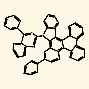 c1ccc(-c2ccc3c(c2)c2c(c4ccccc4n2-c2nc(-c4ccccc4)c4ccccc4n2)c2c4ccccc4c4ccccc4c32)cc1